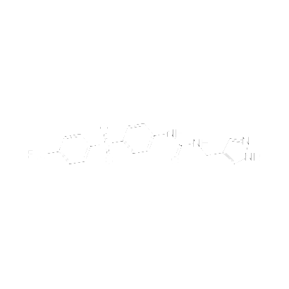 O=C(NCc1cn[nH]c1)Nc1ccc(S(=O)(=O)c2ccc(C(F)(F)F)cc2)cc1